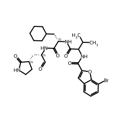 CC(C)C(NC(=O)c1cc2cccc(Br)c2o1)C(=O)N[C@@H](CC1CCCCC1)C(=O)N[C@H](C=O)C[C@@H]1CCNC1=O